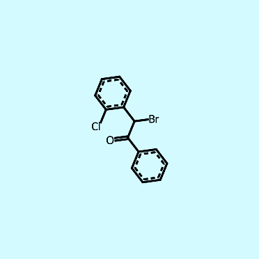 O=C(c1ccccc1)C(Br)c1ccccc1Cl